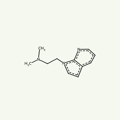 CN(C)CCn1ccc2cccnc21